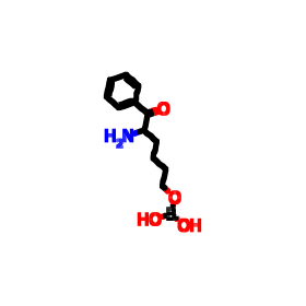 NC(CCCCOB(O)O)C(=O)c1ccccc1